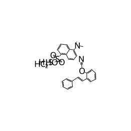 CN(C)c1cccc2c(S(=O)(=O)O)cccc12.Cl.N#COc1ccccc1C=Cc1ccccc1.S